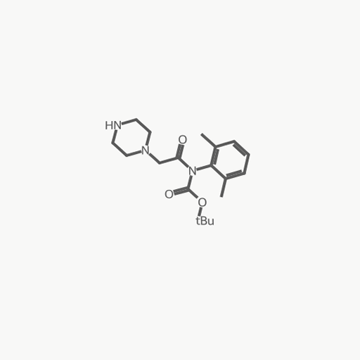 Cc1cccc(C)c1N(C(=O)CN1CCNCC1)C(=O)OC(C)(C)C